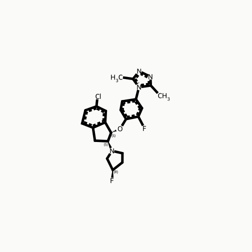 Cc1nnc(C)n1-c1ccc(O[C@H]2c3cc(Cl)ccc3C[C@@H]2N2CC[C@@H](F)C2)c(F)c1